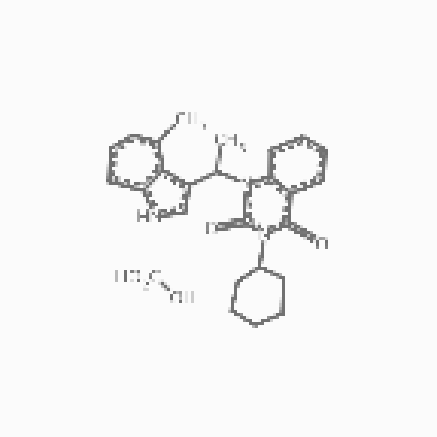 Cc1cccc2[nH]cc(C(C)n3c(=O)n(C4CCCCC4)c(=O)c4ccccc43)c12.O=C(O)O